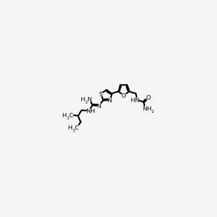 CCC(C)CN/C(N)=N/c1nc(-c2ccc(CNC(N)=O)o2)cs1